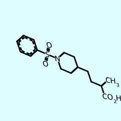 CC(CCC1CCN(S(=O)(=O)c2ccccc2)CC1)C(=O)O